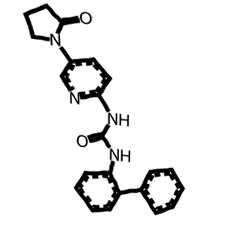 O=C(Nc1ccc(N2CCCC2=O)cn1)Nc1ccccc1-c1ccccc1